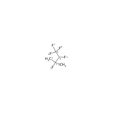 CC(C)(F)C(F)C(F)(F)F